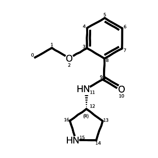 CCOc1ccccc1C(=O)N[C@@H]1CCNC1